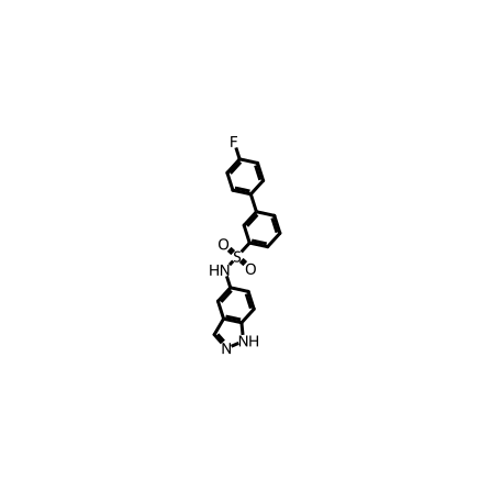 O=S(=O)(Nc1ccc2[nH]ncc2c1)c1cccc(-c2ccc(F)cc2)c1